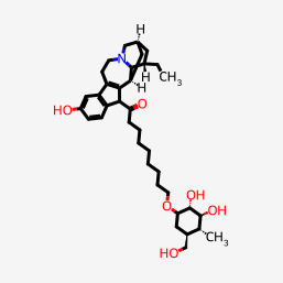 CC[C@H]1C[C@H]2C[C@H]3C4=C(CCN(C2)C13)c1cc(O)ccc1C4C(=O)CCCCCCCCOC1C[C@H](CO)[C@@H](C)[C@H](O)[C@H]1O